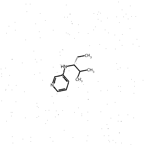 CC[C@@H](Nc1cccnc1)C(C)C